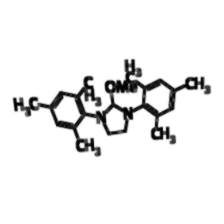 COC1N(c2c(C)cc(C)cc2C)CCN1c1c(C)cc(C)cc1C